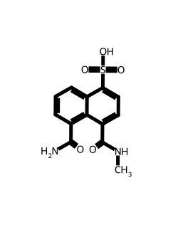 CNC(=O)c1ccc(S(=O)(=O)O)c2cccc(C(N)=O)c12